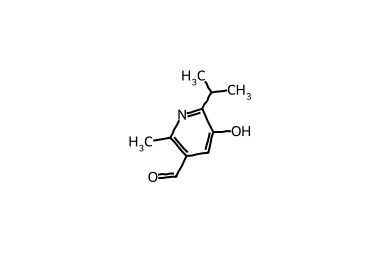 Cc1nc(C(C)C)c(O)cc1C=O